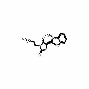 CN1C(=C2SC(=S)N(CCC(=O)O)C2=O)Sc2ccccc21